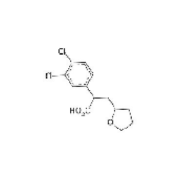 O=C(O)C(CC1CCCO1)c1ccc(Cl)c(Cl)c1